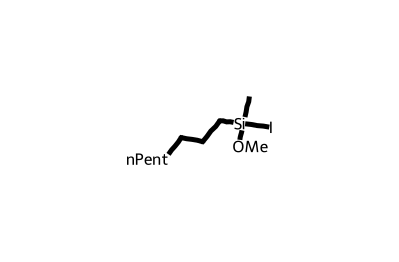 CCCCCCCC[Si](C)(I)OC